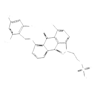 Cc1cc(C)c(COc2cccc3c2C(=O)c2c(Cl)ccc4c2c-3nn4CCOS(C)(=O)=O)c(C)c1